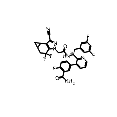 N#Cc1nn(CC(=O)N[C@@H](Cc2cc(F)cc(F)c2)c2ncccc2-c2ccc(F)c(C(N)=O)c2)c2c1C1CC1CC2(F)F